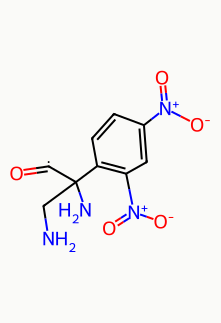 NCC(N)([C]=O)c1ccc([N+](=O)[O-])cc1[N+](=O)[O-]